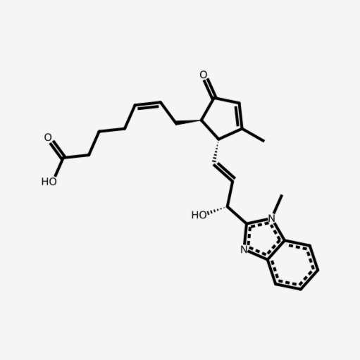 CC1=CC(=O)[C@H](C/C=C\CCCC(=O)O)[C@H]1/C=C/[C@@H](O)c1nc2ccccc2n1C